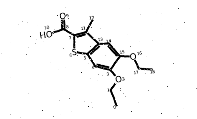 CCOc1cc2sc(C(=O)O)c(C)c2cc1OCC